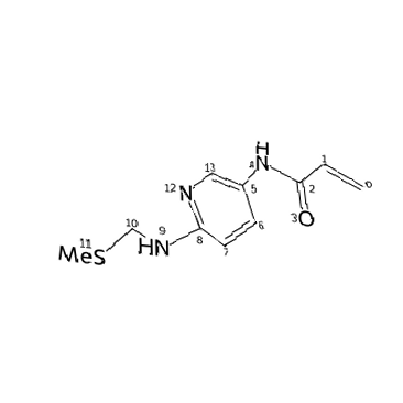 C=CC(=O)Nc1ccc(NCSC)nc1